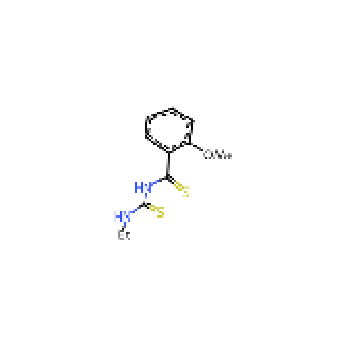 CCNC(=S)NC(=S)c1ccccc1OC